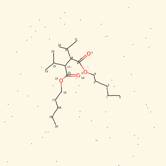 CCCCCOC(=O)C(C(C)C)C(C(=O)OCCCCC)C(C)C